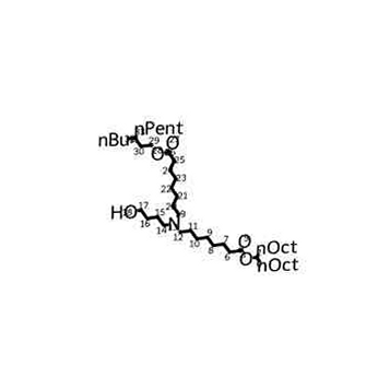 CCCCCCCCC(CCCCCCCC)OC(=O)CCCCCCCN(CCCCO)CCCCCCCC(=O)OCCC(CCCC)CCCCC